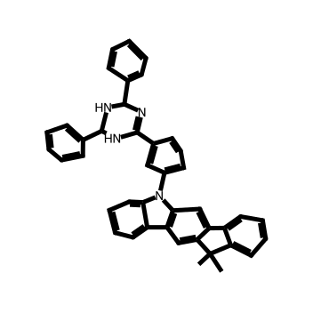 CC1(C)c2ccccc2-c2cc3c(cc21)c1ccccc1n3-c1cccc(C2=NC(c3ccccc3)NC(c3ccccc3)N2)c1